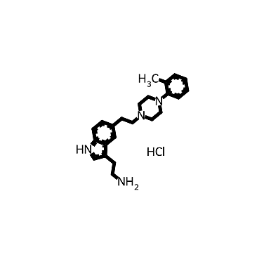 Cc1ccccc1N1CCN(CCc2ccc3[nH]cc(CCN)c3c2)CC1.Cl